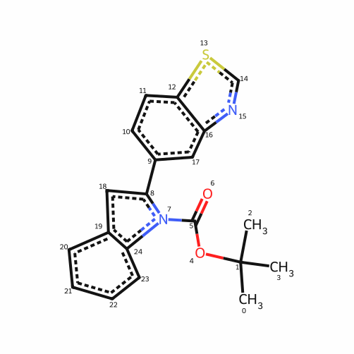 CC(C)(C)OC(=O)n1c(-c2ccc3scnc3c2)cc2ccccc21